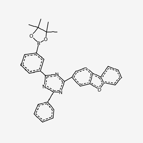 CC1(C)OB(c2cccc(-c3nc(-c4ccccc4)nc(-c4ccc5c(c4)oc4ccccc45)n3)c2)OC1(C)C